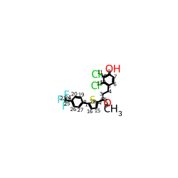 CO[C@H](CCc1ccc(O)c(Cl)c1Cl)c1ccc(-c2ccc(C(F)(F)F)cc2)s1